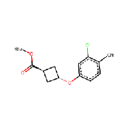 CC(C)(C)OC(=O)[C@H]1C[C@H](Oc2ccc(C#N)c(Cl)c2)C1